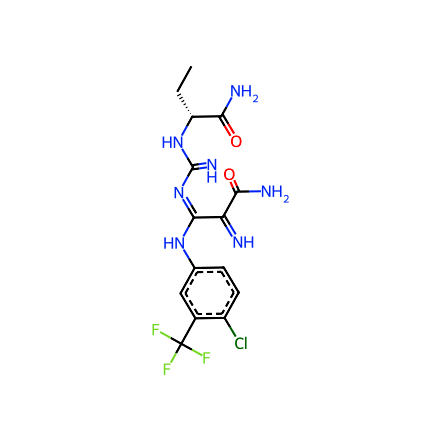 CC[C@@H](NC(=N)/N=C(/Nc1ccc(Cl)c(C(F)(F)F)c1)C(=N)C(N)=O)C(N)=O